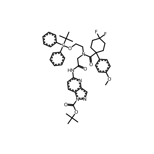 COc1ccc(C2(C(=O)N(CCO[Si](c3ccccc3)(c3ccccc3)C(C)(C)C)CC(=O)Nc3ccc4c(cnn4C(=O)OC(C)(C)C)n3)CCC(F)(F)CC2)cc1